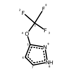 FC(F)(F)Oc1[c]c[nH]n1